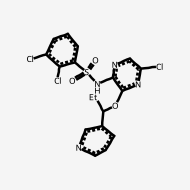 CCC(Oc1nc(Cl)cnc1NS(=O)(=O)c1cccc(Cl)c1Cl)c1cccnc1